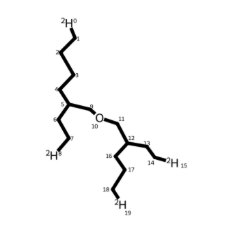 [2H]CCCCC(CC[2H])COCC(CC[2H])CCC[2H]